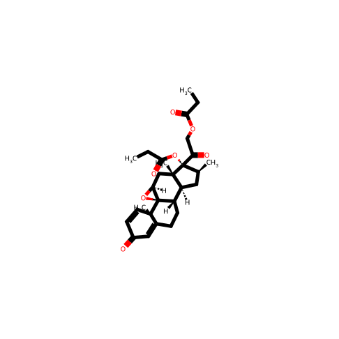 CCC(=O)OCC(=O)[C@@]1(OC(=O)CC)[C@@H](C)C[C@H]2[C@@H]3CCC4=CC(=O)C=C[C@]4(C)[C@@]34O[C@H]4C[C@@]21C